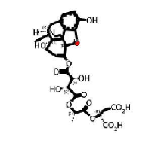 C[C@H](OC(=O)[C@H](O)[C@@H](O)C(=O)OC1=CC[C@@]2(O)[C@H]3Cc4ccc(O)c5c4C2(CCN3C)[C@H]1O5)C(=O)O[C@H](CC(=O)O)C(=O)O